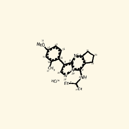 CCC(CC)Nc1c2c(nc3c(-c4ccc(OC)cc4C)cnn13)CCC2.Cl